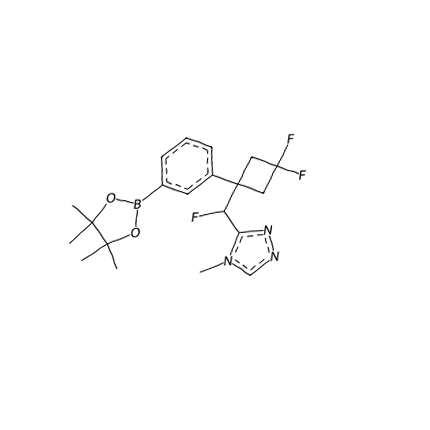 Cn1cnnc1C(F)C1(c2cccc(B3OC(C)(C)C(C)(C)O3)c2)CC(F)(F)C1